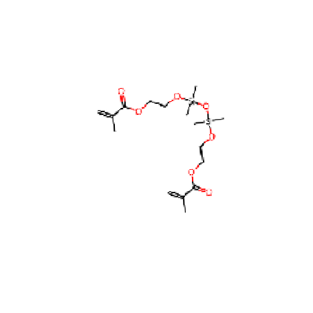 C=C(C)C(=O)OCCO[Si](C)(C)O[Si](C)(C)OCCOC(=O)C(=C)C